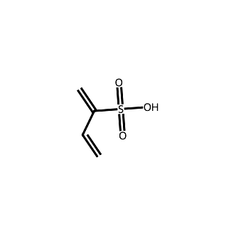 C=CC(=C)S(=O)(=O)O